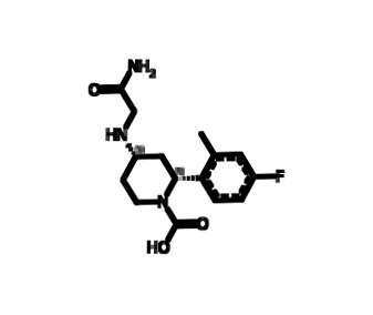 Cc1cc(F)ccc1[C@H]1C[C@@H](NCC(N)=O)CCN1C(=O)O